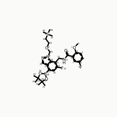 COc1ccc(F)cc1C(=O)NCc1c(F)cc(B2OC(C)(C)C(C)(C)O2)c2cnn(COCC[Si](C)(C)C)c12